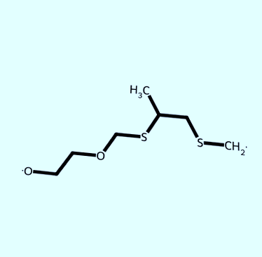 [CH2]SCC(C)SCOCC[O]